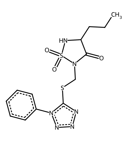 CCCC1NS(=O)(=O)N(CSc2nnnn2-c2ccccc2)C1=O